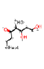 CCCCCCCCCC(=O)C([C]=O)C(O)CCO